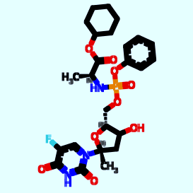 C[C@H](NP(=O)(OC[C@H]1O[C@@](C)(n2cc(F)c(=O)[nH]c2=O)CC1O)Oc1ccccc1)C(=O)OC1CCCCC1